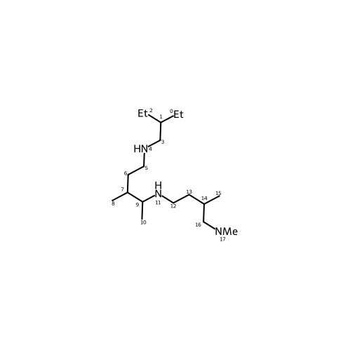 CCC(CC)CNCCC(C)C(C)NCCC(C)CNC